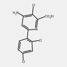 CCOC(=O)c1nc(-c2ccc(Cl)cc2Cl)cc(N)c1Cl